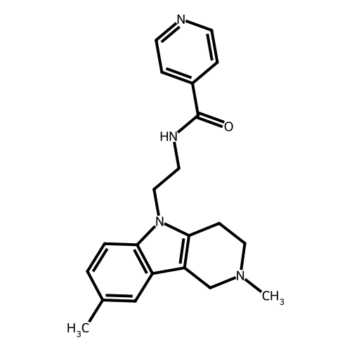 Cc1ccc2c(c1)c1c(n2CCNC(=O)c2ccncc2)CCN(C)C1